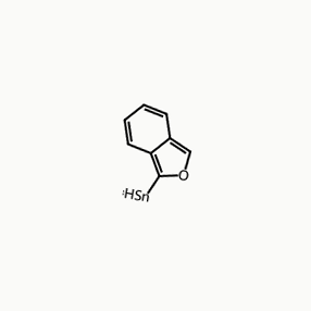 [SnH][c]1occ2ccccc12